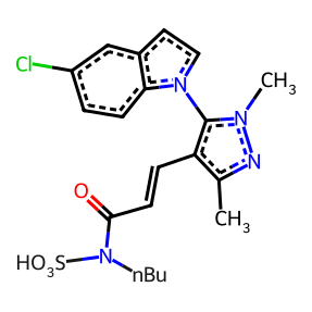 CCCCN(C(=O)/C=C/c1c(C)nn(C)c1-n1ccc2cc(Cl)ccc21)S(=O)(=O)O